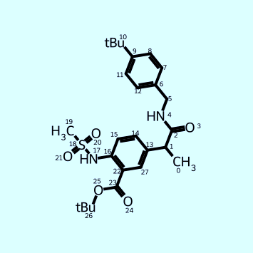 CC(C(=O)NCc1ccc(C(C)(C)C)cc1)c1ccc(NS(C)(=O)=O)c(C(=O)OC(C)(C)C)c1